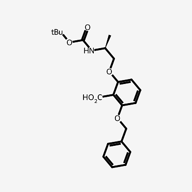 C[C@@H](COc1cccc(OCc2ccccc2)c1C(=O)O)NC(=O)OC(C)(C)C